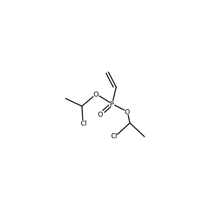 C=CP(=O)(OC(C)Cl)OC(C)Cl